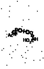 CC(=O)c1ccc(Oc2ccc(C(C)(C)c3ccc(O[C@H]4C[C@@H](NC(=O)O)C4)cc3)cc2)nn1